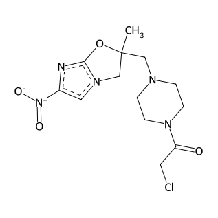 CC1(CN2CCN(C(=O)CCl)CC2)Cn2cc([N+](=O)[O-])nc2O1